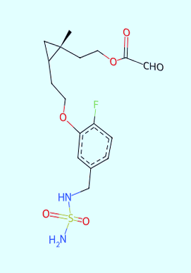 C[C@]1(CCOC(=O)C=O)CC1CCOc1cc(CNS(N)(=O)=O)ccc1F